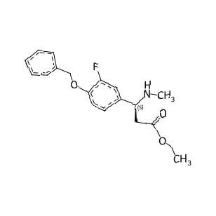 CCOC(=O)C[C@H](NC)c1ccc(OCc2ccccc2)c(F)c1